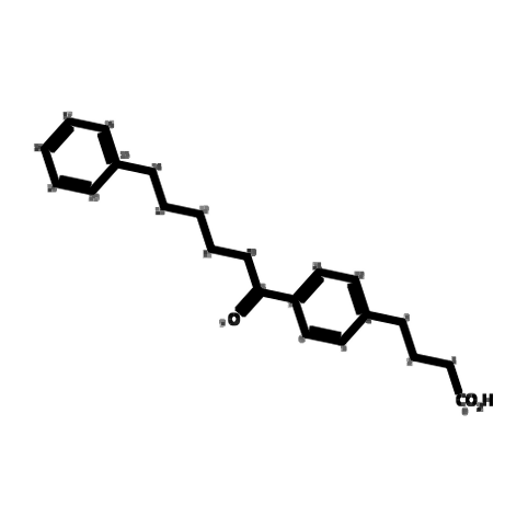 O=C(O)CCCc1ccc(C(=O)CCCCCc2ccccc2)cc1